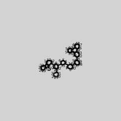 c1cc(-c2cccc(-c3cc(-c4cccc5c4sc4ccccc45)cc(C4CCCCC4)c3)c2)cc(-c2cccc(-c3ccc4c5ccccc5c5ccccc5c4c3)c2)c1